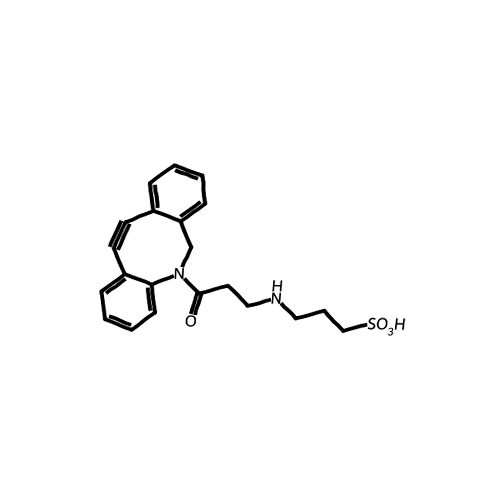 O=C(CCNCCCS(=O)(=O)O)N1Cc2ccccc2C#Cc2ccccc21